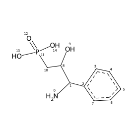 NC(c1ccccc1)C(O)CP(=O)(O)O